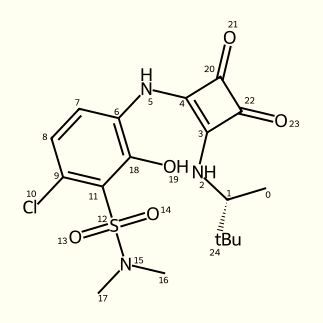 C[C@@H](Nc1c(Nc2ccc(Cl)c(S(=O)(=O)N(C)C)c2O)c(=O)c1=O)C(C)(C)C